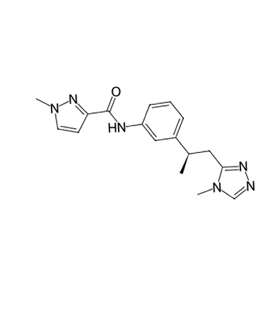 C[C@H](Cc1nncn1C)c1cccc(NC(=O)c2ccn(C)n2)c1